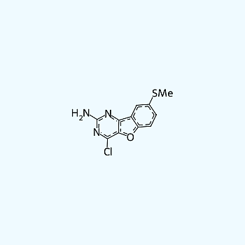 CSc1ccc2oc3c(Cl)nc(N)nc3c2c1